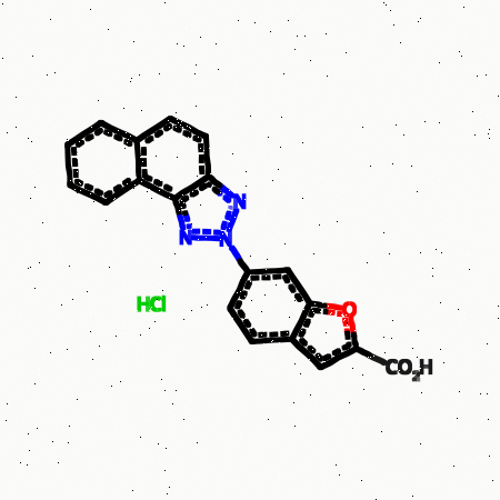 Cl.O=C(O)c1cc2ccc(-n3nc4ccc5ccccc5c4n3)cc2o1